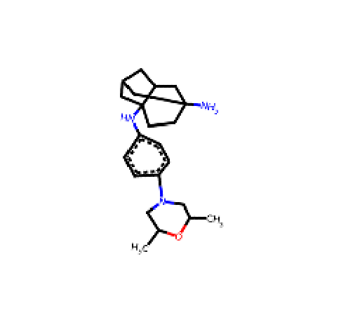 CC1CN(c2ccc(NC34CCC5(N)CC(CC3C5)C4)cc2)CC(C)O1